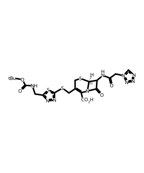 CC(C)(C)OC(=O)NCc1nnc(SCC2=C(C(=O)O)N3C(=O)C(NC(=O)Cn4cnnn4)[C@@H]3SC2)s1